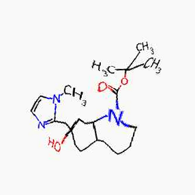 Cn1ccnc1C1(O)CC2CCCN(C(=O)OC(C)(C)C)C2C1